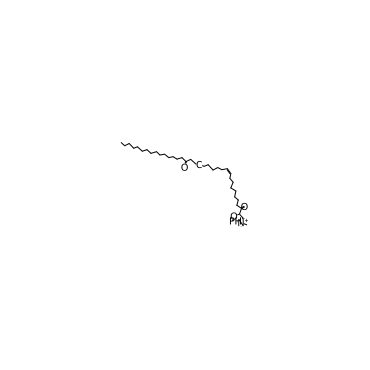 CCCCCCCCCCCCCCCC(=O)CCCCCCCC/C=C\CCCCCCCC(=O)C(C[N+](C)(C)C)O[PH-]